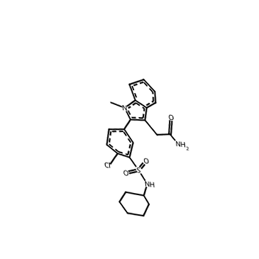 Cn1c(-c2ccc(Cl)c(S(=O)(=O)NC3CCCCC3)c2)c(CC(N)=O)c2ccccc21